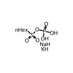 CCCCCCS(=O)(=O)OP(=O)(O)O.[KH].[NaH]